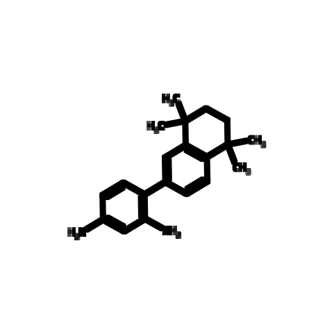 CC1(C)CCC(C)(C)c2cc(-c3ccc(N)cc3N)ccc21